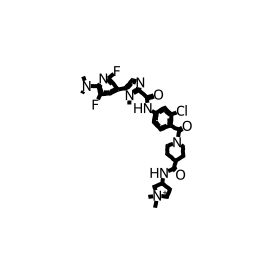 CN(C)c1nc(F)c(-c2cnc(C(=O)Nc3ccc(C(=O)N4CCC(C(=O)NC5CC[N+](C)(C)C5)CC4)c(Cl)c3)n2C)cc1F